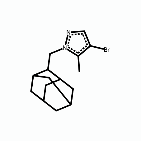 Cc1c(Br)cnn1CC1C2CC3CC(C2)CC1C3